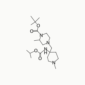 CC(C)OC(=O)NC1(CN2CCN(C(=O)OC(C)(C)C)C(C)C2)CCN(C)CC1